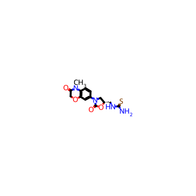 CN1C(=O)COc2cc(N3C[C@H](CNC(N)=S)OC3=O)ccc21